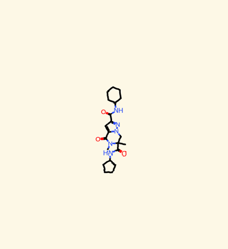 CN1C(=O)c2cc(C(=O)NC3CCCCC3)nn2CC1(C)C(=O)NC1CCCC1